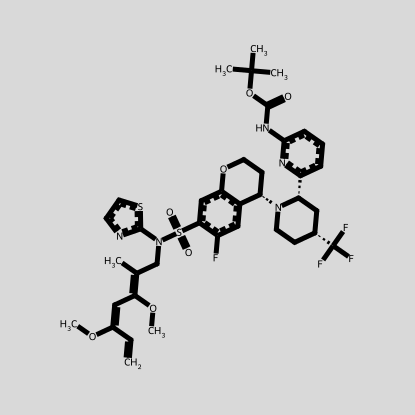 C=C/C(=C\C(OC)=C(/C)CN(c1nccs1)S(=O)(=O)c1cc2c(cc1F)[C@@H](N1CC[C@@H](C(F)(F)F)C[C@H]1c1cccc(NC(=O)OC(C)(C)C)n1)CCO2)OC